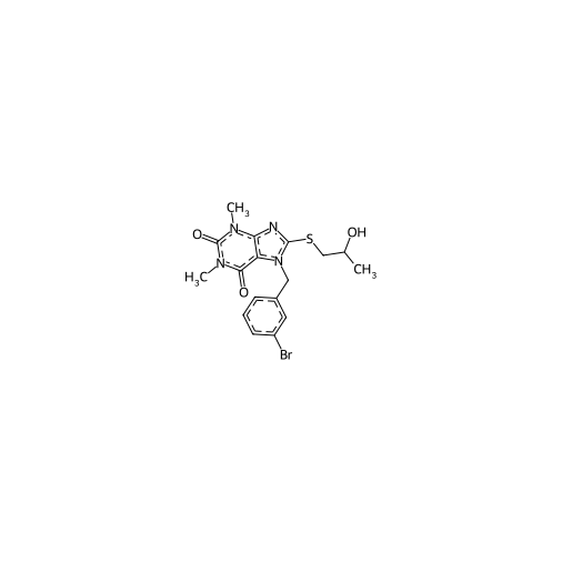 CC(O)CSc1nc2c(c(=O)n(C)c(=O)n2C)n1Cc1cccc(Br)c1